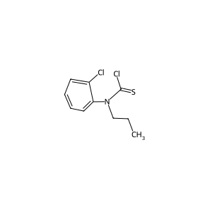 CCCN(C(=S)Cl)c1ccccc1Cl